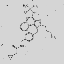 CCCCc1nc2c(NC(C)(C)C)nc3ccccc3c2n1Cc1ccc(CNC(=O)CC2CC2)cc1